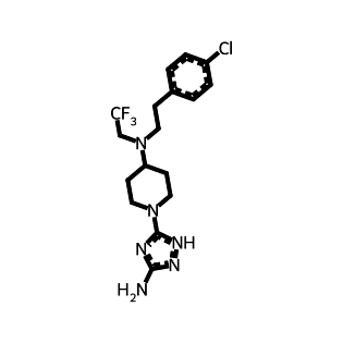 Nc1n[nH]c(N2CCC(N(CCc3ccc(Cl)cc3)CC(F)(F)F)CC2)n1